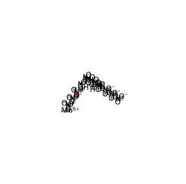 O=NO.O=NO.O=NO.O=NO.O=NO.O=NO.O=[N+]([O-])[O-].O=[N+]([O-])[O-].O=[N+]([O-])[O-].O=[N+]([O-])[O-].O=[N+]([O-])[O-].O=[N+]([O-])[O-].[Mo+6]